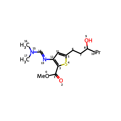 COC(=O)c1sc(CCC(O)C(C)C)cc1N=CN(C)C